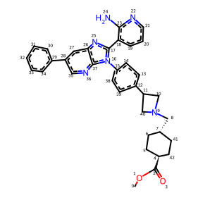 COC(=O)[C@H]1CC[C@H](CN2CC(c3ccc(-n4c(-c5cccnc5N)nc5cc(-c6ccccc6)cnc54)cc3)C2)CC1